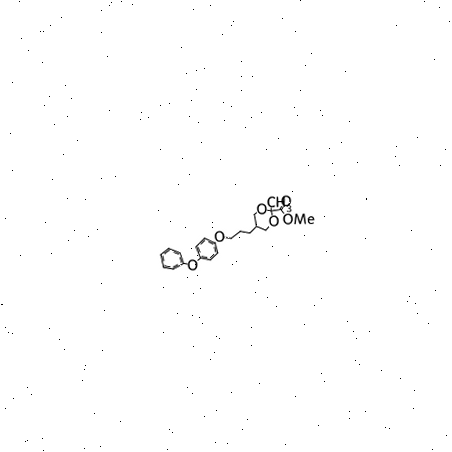 COC(=O)C1(C)OCC(CCCOc2ccc(Oc3ccccc3)cc2)CO1